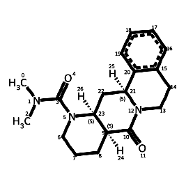 CN(C)C(=O)N1CCC[C@@H]2C(=O)N3CCc4ccccc4[C@@H]3C[C@@H]21